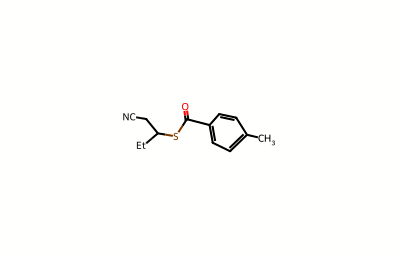 CCC(CC#N)SC(=O)c1ccc(C)cc1